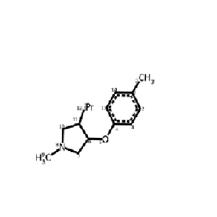 Cc1ccc(OC2CN(C)CC2C(C)C)cc1